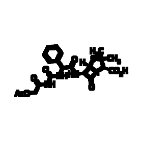 CC(=O)OCC(=O)NC(=O)NC(C(=O)N[C@@H]1C(=O)N2[C@@H]1SC(C)(C)[C@@H]2C(=O)O)c1ccccc1